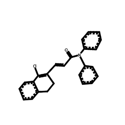 O=C(C=CC1=C(Cl)c2ccccc2CC1)N(c1ccccc1)c1ccccc1